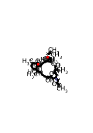 COC(=O)/C=C1\C[C@H]2O[C@@](O)(C1)[C@H](C)C(=O)O[C@H]1C[C@@H](C=C(C)C)O[C@@H](C[C@]3(O)O[C@H](CC[C@H]2O)[C@@H](C)[C@]2(O)CC[C@@H](C)C(=O)[C@H]23)[C@H]1C